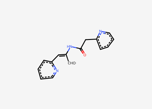 O=[C]/C(=C\c1ccccn1)NC(=O)Cc1ccccn1